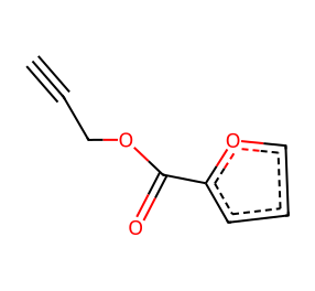 C#CCOC(=O)c1ccco1